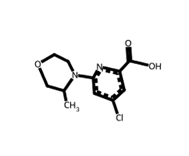 CC1COCCN1c1cc(Cl)cc(C(=O)O)n1